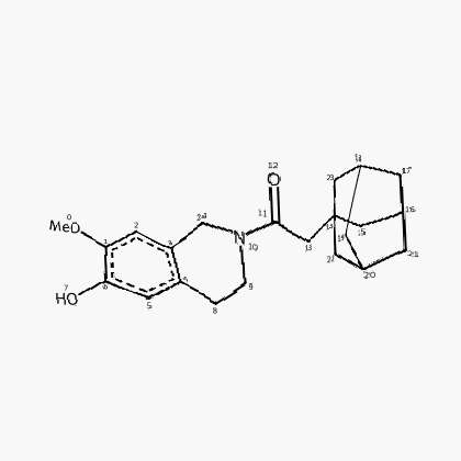 COc1cc2c(cc1O)CCN(C(=O)CC13CC4CC(CC(C4)C1)C3)C2